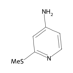 CSc1cc(N)ccn1